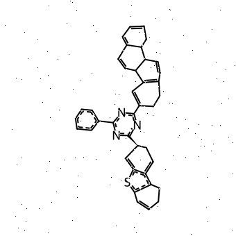 C1=CCC2C(=C1)C=CC1C3=C(C=CC12)CCC(c1nc(-c2ccccc2)nc([C@@H]2C=c4sc5c(c4=CC2)CCC=C5)n1)=C3